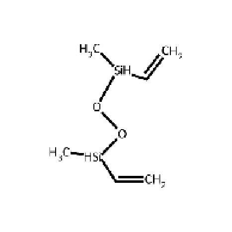 C=C[SiH](C)OO[SiH](C)C=C